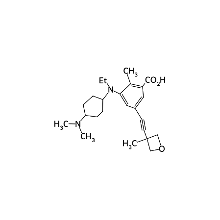 CCN(c1cc(C#CC2(C)COC2)cc(C(=O)O)c1C)C1CCC(N(C)C)CC1